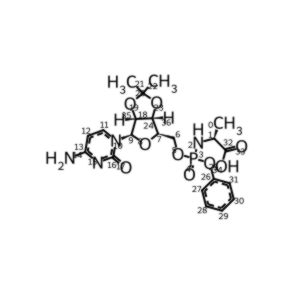 C[C@H](NP(=O)(OC[C@H]1O[C@@H](n2ccc(N)nc2=O)[C@@H]2OC(C)(C)O[C@@H]21)Oc1ccccc1)C(=O)O